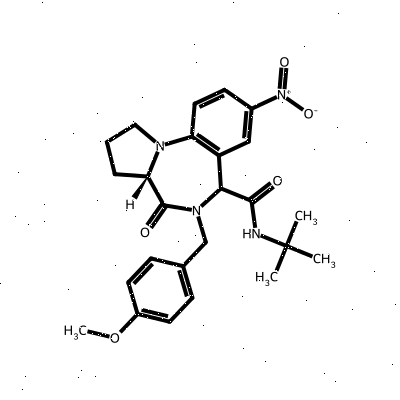 COc1ccc(CN2C(=O)[C@@H]3CCCN3c3ccc([N+](=O)[O-])cc3C2C(=O)NC(C)(C)C)cc1